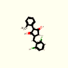 Cc1ccccc1C1C(=O)CC(Cc2c(F)cccc2F)C1=O